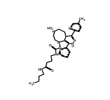 CCCCNC(=O)CCCNC(=O)O[C@H]1CC[C@H](O)CCC2C(c3ccc(C)cn3)=NNC(c3ccccn3)=C21